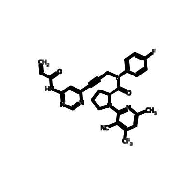 C=CC(=O)Nc1cc(C#CCN(C(=O)[C@@H]2CCCN2c2nc(C)cc(C(F)(F)F)c2C#N)c2ccc(F)cc2)ncn1